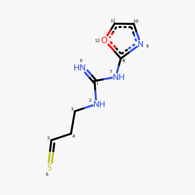 N=C(NCCC=S)Nc1ncco1